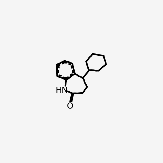 O=C1CCC(C2CCCCC2)c2ccccc2N1